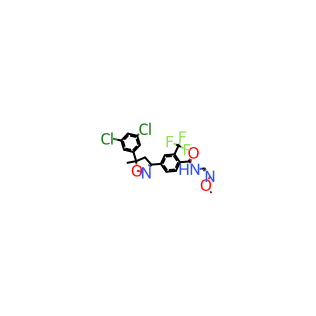 CO/N=C\NC(=O)c1ccc(C2=NOC(C)(c3cc(Cl)cc(Cl)c3)C2)cc1C(F)(F)F